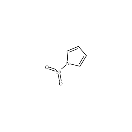 [O]=[Sb](=[O])[n]1cccc1